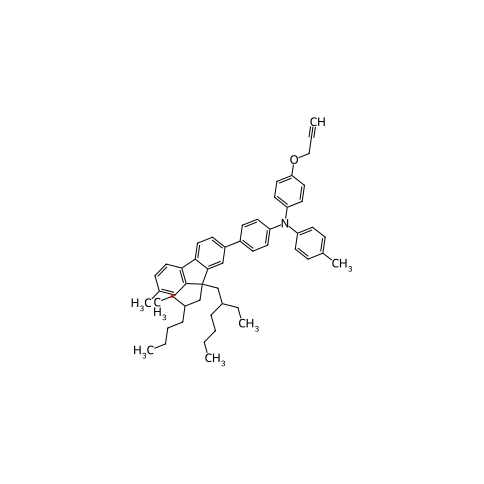 C#CCOc1ccc(N(c2ccc(C)cc2)c2ccc(-c3ccc4c(c3)C(CC(CC)CCCC)(CC(CC)CCCC)c3cc(C)ccc3-4)cc2)cc1